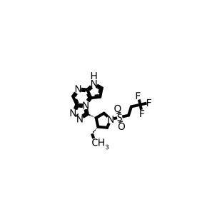 CC[C@H]1CN(S(=O)(=O)CCC(F)(F)F)C[C@H]1c1nnc2cnc3[nH]ccc3n12